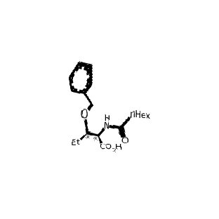 CCCCCCC(=O)N[C@@H](C(=O)O)[C@@H](CC)OCc1ccccc1